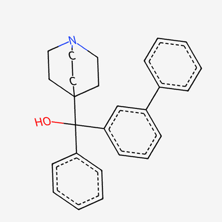 OC(c1ccccc1)(c1cccc(-c2ccccc2)c1)C12CCN(CC1)CC2